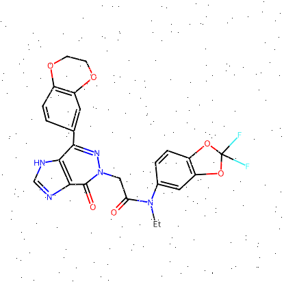 CCN(C(=O)Cn1nc(-c2ccc3c(c2)OCCO3)c2[nH]cnc2c1=O)c1ccc2c(c1)OC(F)(F)O2